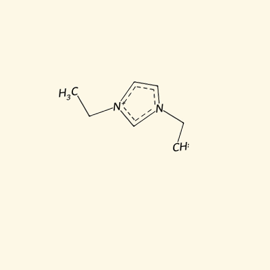 [CH]Cn1cc[n+](CC)c1